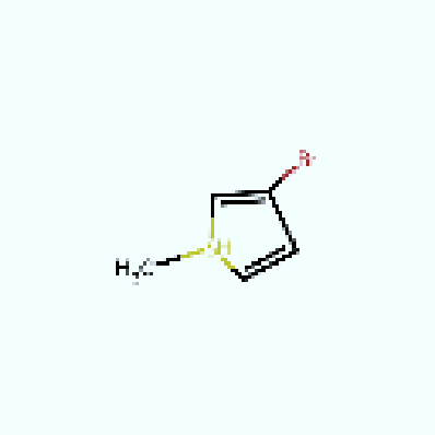 C[SH]1C=CC(Br)=C1